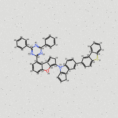 C1=Cc2c(c3cc(-c4ccc5sc6ccccc6c5c4)ccc3n2C2=c3oc4cccc(-c5nc(-c6ccccc6)nc(-c6ccccc6)n5)c4c3=CC2)C1